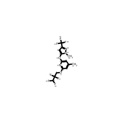 Cc1cc(OCC(F)(F)C(F)F)nc(Oc2cc(C(F)(F)F)nn2C)c1